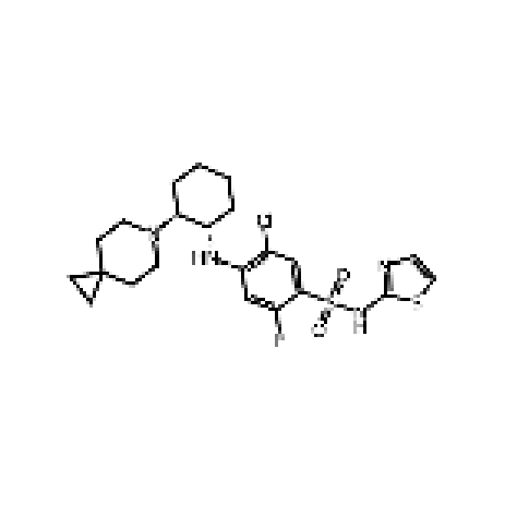 O=S(=O)(Nc1nccs1)c1cc(Cl)c(N[C@H]2CCCC[C@@H]2N2CCC3(CC2)CC3)cc1F